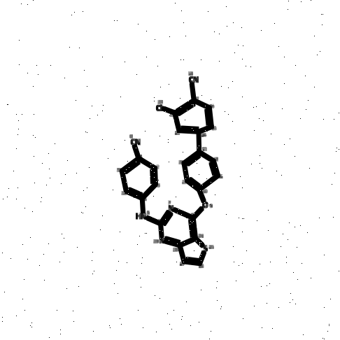 N#Cc1ccc(Nc2nc(Oc3ccc(-c4ccc(C#N)c(Cl)c4)cc3)c3sccc3n2)cc1